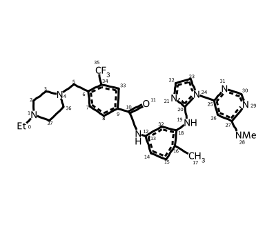 CCN1CCN(Cc2ccc(C(=O)Nc3ccc(C)c(Nc4nccn4-c4cc(NC)ncn4)c3)cc2C(F)(F)F)CC1